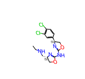 CCNC[C@H]1COC(NC2=N[C@@H](c3ccc(Cl)c(Cl)c3)CO2)=N1